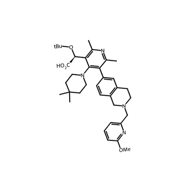 COc1cccc(CN2CCc3cc(-c4c(C)nc(C)c([C@H](OC(C)(C)C)C(=O)O)c4N4CCC(C)(C)CC4)ccc3C2)n1